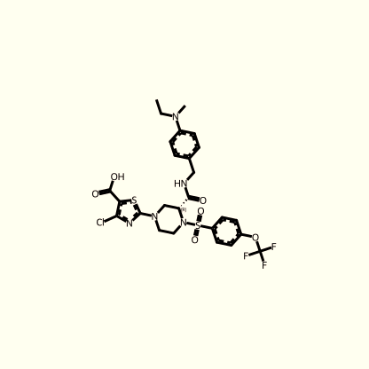 CCN(C)c1ccc(CNC(=O)[C@H]2CN(c3nc(Cl)c(C(=O)O)s3)CCN2S(=O)(=O)c2ccc(OC(F)(F)F)cc2)cc1